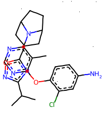 Cc1c(Oc2ccc(N)cc2Cl)ncnc1N1C2CCC1CC(c1nc(C(C)C)no1)C2